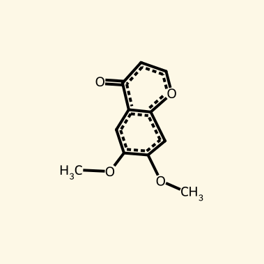 COc1cc2occc(=O)c2cc1OC